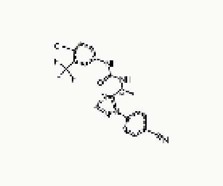 C[C@H](NC(=O)Nc1ccc(Cl)c(C(F)(F)F)c1)c1ncnn1-c1ccc(C#N)cn1